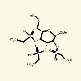 CCCCOC[C@H]1O[C@H](OC)[C@@H](OP(=O)(O)CC(=O)O)[C@H](OP(=O)(O)CC(=O)O)[C@@H]1OP(=O)(O)CC(=O)O